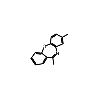 CC1=Nc2cc(C)ccc2Oc2ccccc21